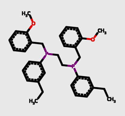 CCc1cccc(P(CCP(Cc2ccccc2OC)c2cccc(CC)c2)Cc2ccccc2OC)c1